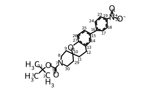 CC(C)(C)OC(=O)N1CCC2(CCc3cc(-c4ccc([N+](=O)[O-])cc4)ccc3O2)CC1